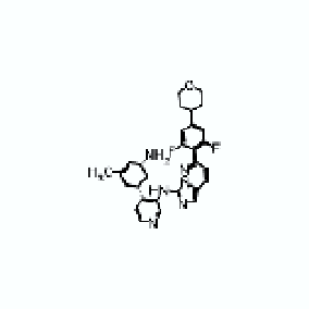 CC1=C[C@H](N)C[C@H](c2ccncc2Nc2ncc3ccc(-c4c(F)cc(C5CCOCC5)cc4F)nn23)C1